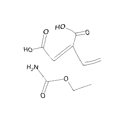 C=CC(=CC(=O)O)C(=O)O.CCOC(N)=O